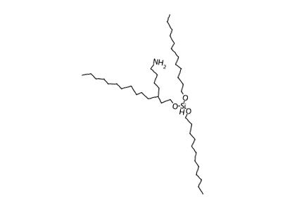 CCCCCCCCCCCCO[SiH](OCCCCCCCCCCCC)OCCC(CCCCN)CCCCCCCCCCC